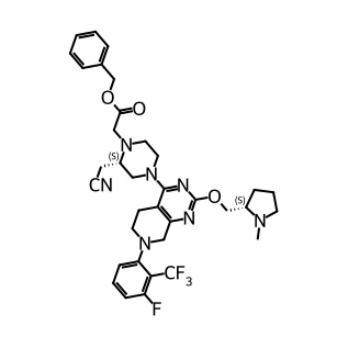 CN1CCC[C@H]1COc1nc2c(c(N3CCN(CC(=O)OCc4ccccc4)[C@@H](CC#N)C3)n1)CCN(c1cccc(F)c1C(F)(F)F)C2